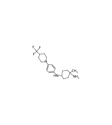 CC1(N)CCC(Nc2ccc(N3CCC(C(F)(F)F)CC3)cc2)CC1